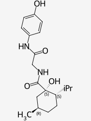 CC(C)[C@@H]1CC[C@@H](C)C[C@@]1(O)C(=O)NCC(=O)Nc1ccc(O)cc1